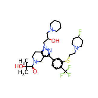 CC(C)(O)C(=O)N1CCc2c(c(-c3ccc(C(F)(F)F)c(SCCN4CCC(F)CC4)c3)nn2CC(O)CN2CCCCC2)C1